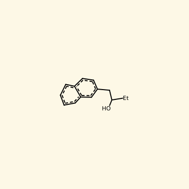 CCC(O)Cc1ccc2ccccc2c1